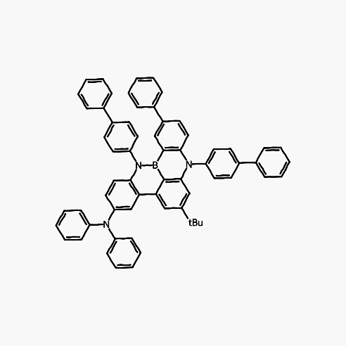 CC(C)(C)c1cc2c3c(c1)N(c1ccc(-c4ccccc4)cc1)c1ccc(-c4ccccc4)cc1B3N(c1ccc(-c3ccccc3)cc1)c1ccc(N(c3ccccc3)c3ccccc3)cc1-2